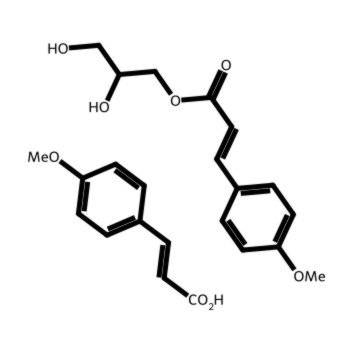 COc1ccc(C=CC(=O)O)cc1.COc1ccc(C=CC(=O)OCC(O)CO)cc1